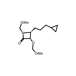 COCO[C@H]1C(=O)N(COC)[C@H]1CCCC1CC1